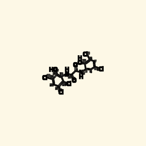 O=C(Nc1cc(Cl)cc(Cl)c1O)C(=O)Nc1c(O)c(Cl)cc(Cl)c1Cl